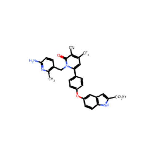 CCOC(=O)c1cc2cc(Oc3ccc(-c4cc(C(F)(F)F)c(C#N)c(=O)n4Cc4ccc(N)nc4C)cc3)ccc2[nH]1